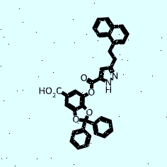 O=C(O)c1cc(OC(=O)c2cc(CCc3cccc4ccccc34)n[nH]2)c2c(c1)OC(c1ccccc1)(c1ccccc1)O2